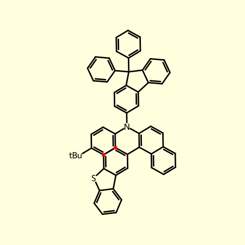 CC(C)(C)c1ccc(N(c2ccc3c(c2)-c2ccccc2C3(c2ccccc2)c2ccccc2)c2ccc3ccccc3c2-c2ccc3sc4ccccc4c3c2)cc1